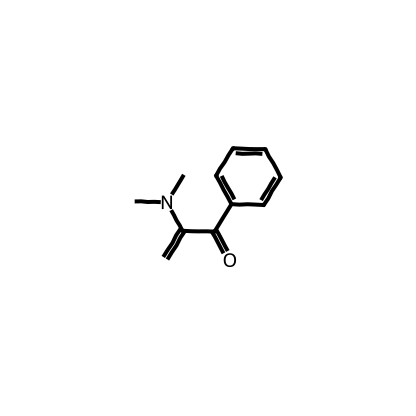 C=C(C(=O)c1ccccc1)N(C)C